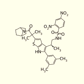 Cc1cc(C)cc(-c2[nH]c3sc(C(C)(C)C(=O)N4C5CCC4CC5)cc3c2[C@H](C)CNS(=O)(=O)c2ccc([N+](=O)[O-])cc2[N+](=O)[O-])c1